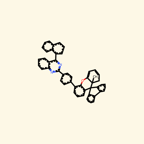 CC12CC=CC=C1Oc1c(-c3ccc(-c4nc(-c5cccc6ccccc56)c5ccccc5n4)cc3)cccc1C21c2ccccc2-c2ccccc21